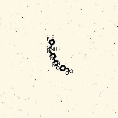 COC(=O)CC1CCC(Oc2ncc(-c3ccc(-c4nnc(-c5ccc(F)c(F)c5)[nH]4)cn3)cn2)CC1